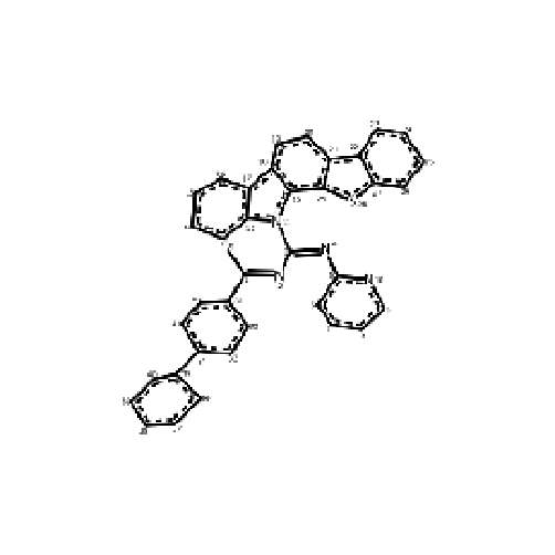 C/C(=N\C(=N/c1ccccn1)n1c2ccccc2c2ccc3c4ccccc4sc3c21)c1ccc(-c2ccccc2)cc1